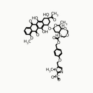 COc1cccc2c1C(=O)c1c(O)c3c(c(O)c1C2=O)C[C@@](O)(C(C)=O)C[C@@H]3O[C@H]1C[C@H]2[C@H](OCOCN2C(=O)OCc2ccc(OCc3cnc([N+](=O)[O-])n3C)cc2)[C@H](C)O1